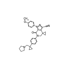 COc1ccc(-n2nc(C#N)c3c2C(=O)N(c2ccc(C4(CN5CCCC5)CC4)cc2)CC32CC2)cc1